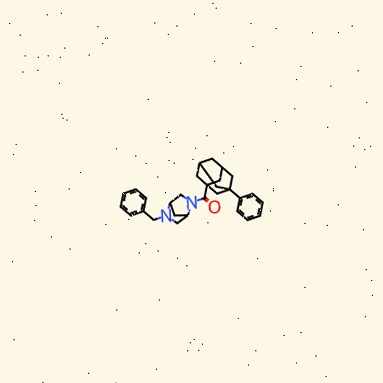 O=C(N1CC2CC1CN2Cc1ccccc1)C12CC3CC(C1)CC(c1ccccc1)(C3)C2